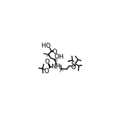 CC(C)[Si](OCC[C@H](C)C[C@H](NC(=O)OC(C)(C)C)[C@@H](O)C[C@@H](C)C(=O)O)(C(C)C)C(C)C